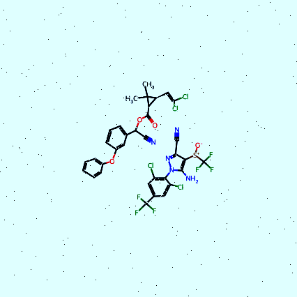 CC1(C)[C@H](C(=O)OC(C#N)c2cccc(Oc3ccccc3)c2)[C@@H]1C=C(Cl)Cl.N#Cc1nn(-c2c(Cl)cc(C(F)(F)F)cc2Cl)c(N)c1[S+]([O-])C(F)(F)F